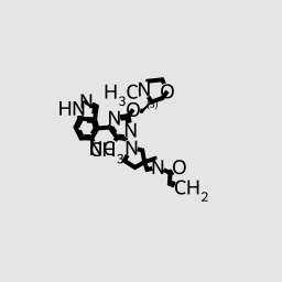 C=CC(=O)N1CC2(CCN(c3nc(OC[C@@H]4COCCN4C)nc(-c4c(C)ccc5[nH]ncc45)c3C#N)C2)C1